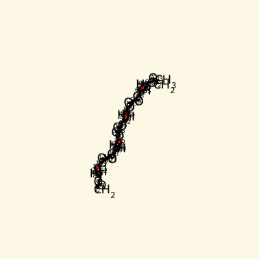 C=CC(=O)OCC1C[C@@H]2C3CC(CC3COC(=O)/C=C/C(=O)OCC3C[C@@H]4C5CC(CC5COC(=O)CC(=O)OCC5CC6CC5[C@@H]5CC(COC(=O)/C=C/C(=O)OCC7CC8CC7[C@H]7CC(COC(=O)C(=C)C)C[C@@H]87)C[C@H]65)[C@@H]4C3)[C@@H]2C1